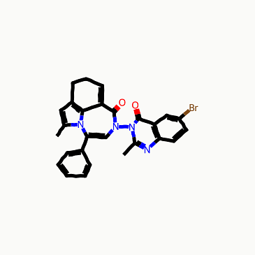 Cc1cc2c3n1C(c1ccccc1)=CN(n1c(C)nc4ccc(Br)cc4c1=O)C(=O)C3=CCC2